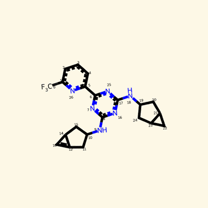 FC(F)(F)c1cccc(-c2nc(NC3CC4=CC4C3)nc(NC3CC4CC4C3)n2)n1